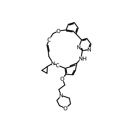 C1=C/CN(C2CC2)Cc2cc(ccc2OCCN2CCOCC2)Nc2nccc(n2)-c2cccc(c2)OCC/1